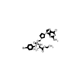 CCOC(=O)[C@H](C)NP(=O)(OC[C@@H]1C=C[C@H](n2cnc3c(Cl)nc(N)nc32)C1)Oc1ccc(Br)cc1